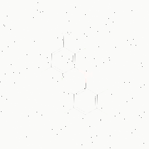 COc1cc(F)c(F)c(Bc2c(F)c(F)cc(F)c2F)c1F